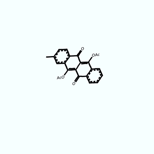 CC(=O)OC1=C2C(=O)c3ccc(C)cc3C(OC(C)=O)=C2C(=O)c2ccccc21